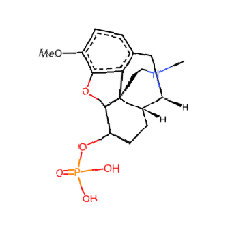 COc1ccc2c3c1OC1C(OP(=O)(O)O)CC[C@H]4[C@@H](C2)N(C)CC[C@]314